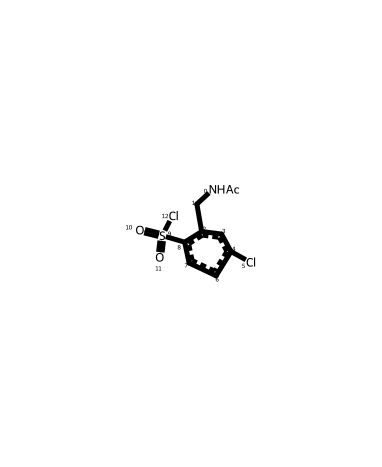 CC(=O)NCc1cc(Cl)ccc1S(=O)(=O)Cl